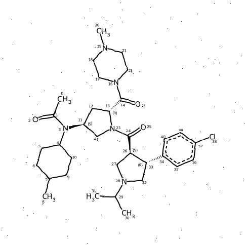 CC(=O)N(C1CCC(C)CC1)[C@H]1C[C@H](C(=O)N2CCN(C)CC2)N(C(=O)[C@@H]2CN(C(C)C)C[C@H]2c2ccc(Cl)cc2)C1